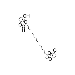 O=C(CCCCCCCCCCCCCCC(O)ON1C(=O)CCC1O)ON1C(=O)CCC1=O